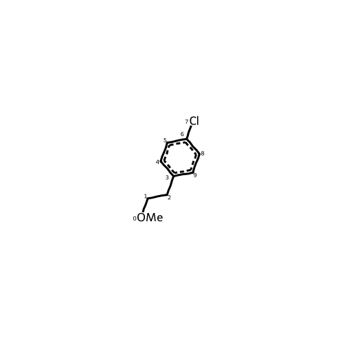 COCCc1ccc(Cl)cc1